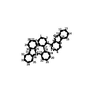 c1ccc(-c2nccc3c2sc2ccccc23)c(-c2ccccc2-n2c3ccccc3c3ccccc32)c1